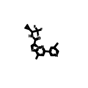 Cc1cncc(-c2cc(C)c3ncc(C(=O)NC(C4CC4)C(F)(F)F)n3n2)c1